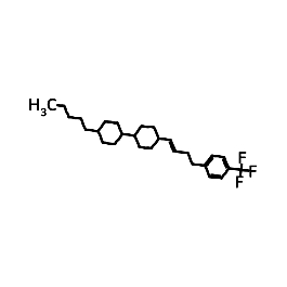 CCCCCC1CCC(C2CCC(C=CCCc3ccc(C(F)(F)F)cc3)CC2)CC1